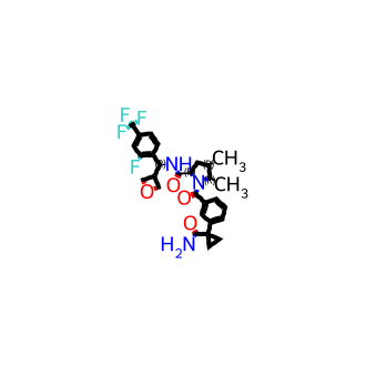 C[C@@H]1C[C@H](C(=O)N[C@@H](c2ccc(C(F)(F)F)cc2F)C2COC2)N(C(=O)c2cccc(C3(C(N)=O)CC3)c2)[C@@H]1C